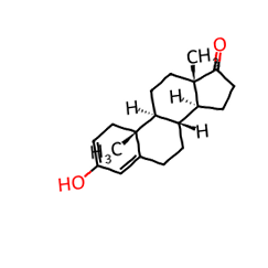 C[C@]12CC=C(O)C=C1CC[C@@H]1[C@@H]2CC[C@]2(C)C(=O)CC[C@@H]12